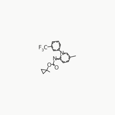 Cc1cc/c(=N\C(=O)OC2(C)CC2)n(-c2cccc(C(F)(F)F)c2)c1